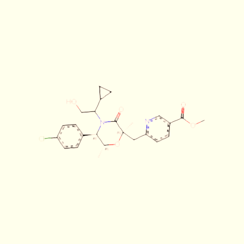 COC(=O)c1ccc(C[C@@]2(C)O[C@H](C)[C@@H](c3ccc(Cl)cc3)N(C(CO)C3CC3)C2=O)nc1